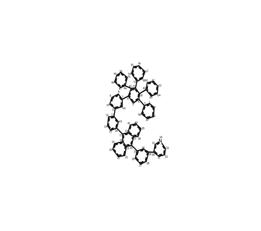 c1ccc(-c2cc(-c3cccc(-c4cccc(-c5c6ccccc6c(-c6cccc(-c7cccnc7)c6)c6ccccc56)c4)c3)c(-c3ccccc3)c(-c3ccccc3)c2-c2ccccc2)cc1